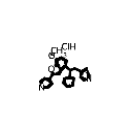 COc1ccc(C(Cc2ccncc2)c2ccccc2)c2cc(-c3ccncc3)oc12.Cl